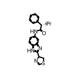 CC(C)[C@H](C(=O)Nc1ccc2[nH]c(C3CSC=N3)nc2c1)c1ccccc1